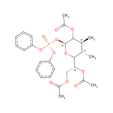 CC(=O)OC[C@@H](OC(C)=O)C1O[C@@H](OP(=O)(Oc2ccccc2)Oc2ccccc2)C(OC(C)=O)[C@@H](C)[C@@H]1C